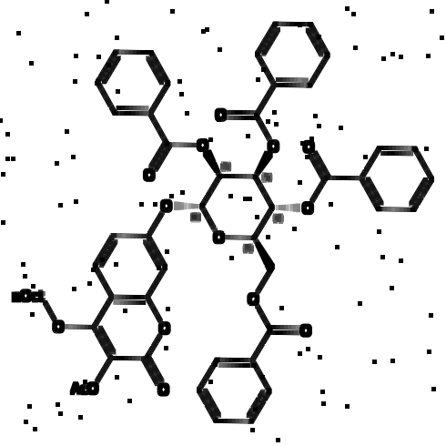 CCCCCCCCOc1c(OC(C)=O)c(=O)oc2cc(O[C@H]3O[C@H](COC(=O)c4ccccc4)[C@@H](OC(=O)c4ccccc4)[C@H](OC(=O)c4ccccc4)[C@@H]3OC(=O)c3ccccc3)ccc12